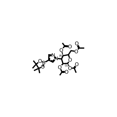 CC(=O)OCC1O[C@@H](OC(C)=O)C(OC(C)=O)C(n2cc(B3OC(C)(C)C(C)(C)O3)cn2)[C@H]1OC(C)=O